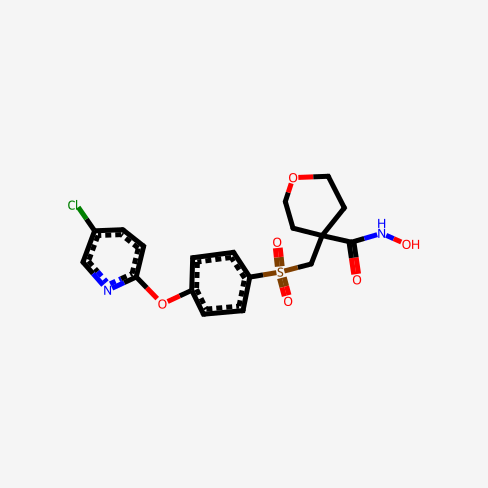 O=C(NO)C1(CS(=O)(=O)c2ccc(Oc3ccc(Cl)cn3)cc2)CCOCC1